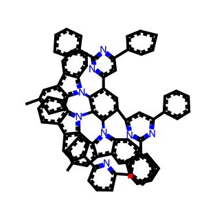 Cc1ccc2c(c1)c1ccccc1n2-c1c(-c2cc(-c3ccccc3)nc(-c3ccccc3)n2)cc(-c2cc(-c3ccccc3)nc(-c3ccccc3)n2)c(-n2c3ccccc3c3cc(C)ccc32)c1-n1c2ccccc2c2ccc(-c3cccc(-c4ccccc4)n3)cc21